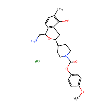 COc1ccc(OC(=O)N2CCC([C@@H]3Cc4c(ccc(C)c4O)[C@H](CN)O3)CC2)cc1.Cl